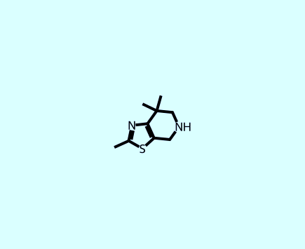 Cc1nc2c(s1)CNCC2(C)C